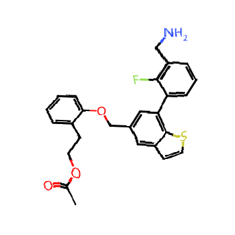 CC(=O)OCCc1ccccc1OCc1cc(-c2cccc(CN)c2F)c2sccc2c1